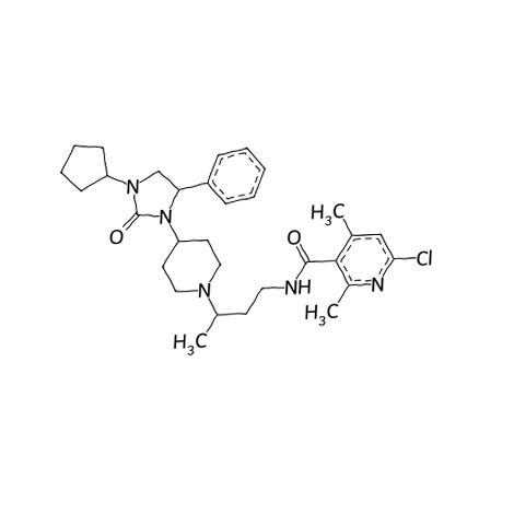 Cc1cc(Cl)nc(C)c1C(=O)NCCC(C)N1CCC(N2C(=O)N(C3CCCC3)CC2c2ccccc2)CC1